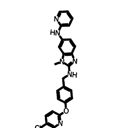 Cn1c(NCc2ccc(Oc3ccc(Cl)cn3)cc2)nc2ccc(Nc3ccccn3)cc21